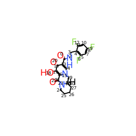 O=C(NCc1c(F)cc(F)cc1F)c1cn2c(c(O)c1=O)C(=O)N1CCCC[C@H]1C2